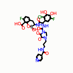 O=C(NCCCN1CCN(C(=O)NC(C(=O)NC2Cc3ccc(F)c(C(=O)O)c3OB2O)c2cc(F)c(O)c(O)c2Cl)C(=O)C1=O)c1ccncc1